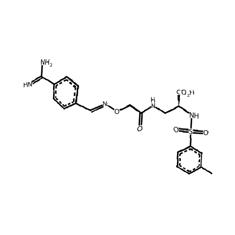 Cc1cccc(S(=O)(=O)N[C@@H](CNC(=O)CON=Cc2ccc(C(=N)N)cc2)C(=O)O)c1